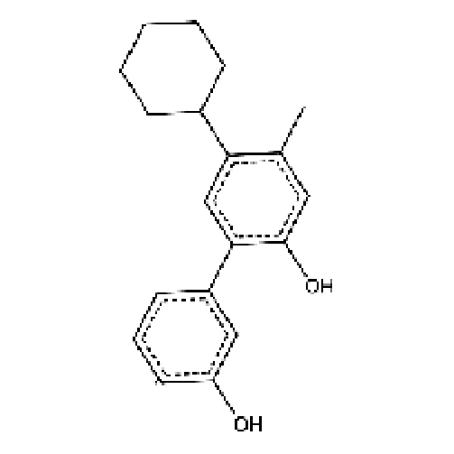 Cc1cc(O)c(-c2cc[c]c(O)c2)cc1C1CCCCC1